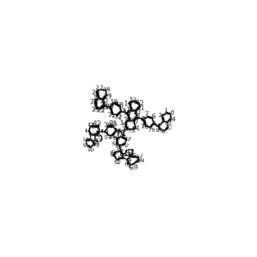 c1ccc2c(-c3ccc(-c4c5ccccc5c(-c5ccc(-c6cccc7ccccc67)cc5)c5cc(-n6c7ccc(-c8cccc9c8oc8ccccc89)cc7c7cc(-c8cccc9c8oc8ccccc89)ccc76)ccc45)cc3)cccc2c1